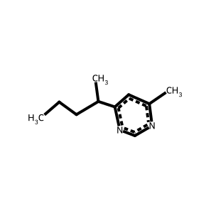 CCCC(C)c1cc(C)ncn1